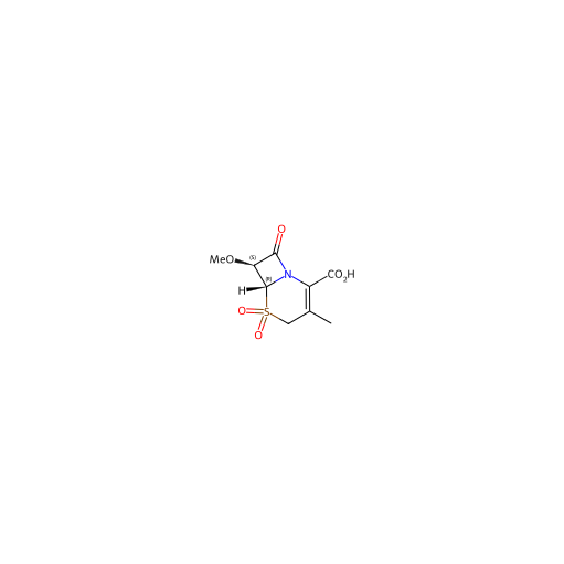 CO[C@H]1C(=O)N2C(C(=O)O)=C(C)CS(=O)(=O)[C@H]12